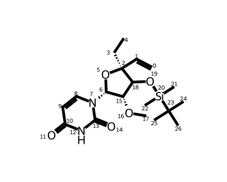 C=C[C@]1(CC)O[C@@H](n2ccc(=O)[nH]c2=O)[C@@H](OC)C1O[Si](C)(C)C(C)(C)C